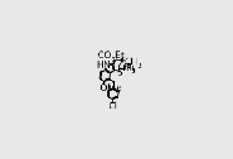 CCOC(=O)C(C)(C)Cc1[nH]c2ccc(OC)c(Cc3ccc(Cl)cc3)c2c1SC(C)(C)C